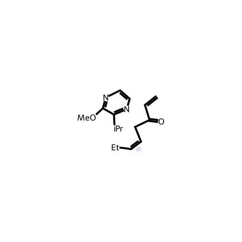 C=CC(=O)C/C=C\CC.COc1nccnc1C(C)C